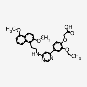 CCOc1cc(-c2cc(NCCc3c(OC)ccc4c(OC)cccc34)ncn2)ccc1OCC(=O)O